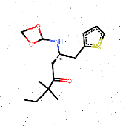 CCC(C)(C)C(=O)C[C@H](Cc1cccs1)NC1OCO1